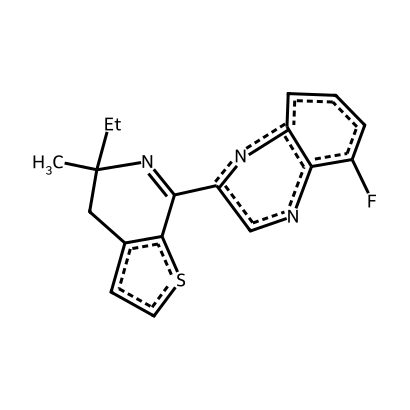 CCC1(C)Cc2ccsc2C(c2cnc3c(F)cccc3n2)=N1